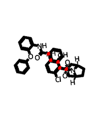 O=C(Nc1ccccc1Oc1ccccc1)Nc1ccc(Cl)c(S(=O)(=O)N2[C@@H]3CC[C@@H]2CN(Cc2ccccc2)C3)c1O